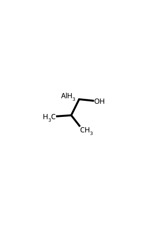 CC(C)CO.[AlH3]